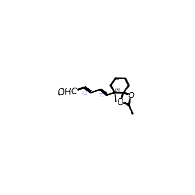 CC1OC2(CCCC[C@@]2(C)/C=C/C=C/C=O)O1